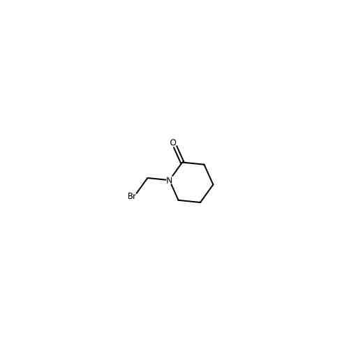 O=C1CCCCN1CBr